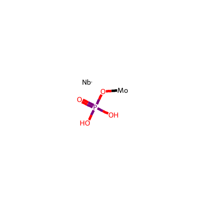 O=P(O)(O)[O][Mo].[Nb]